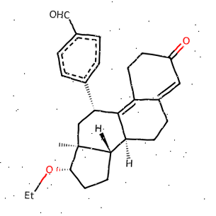 CCO[C@H]1CC[C@H]2[C@@H]3CCC4=CC(=O)CCC4=C3[C@@H](c3ccc(C=O)cc3)C[C@]12C